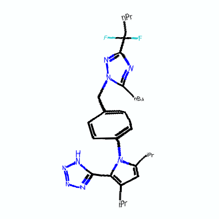 CCCCc1nc(C(F)(F)CCC)nn1Cc1ccc(-n2c(C(C)C)cc(C(C)C)c2-c2nnn[nH]2)cc1